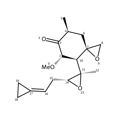 CO[C@@H]1C(=O)[C@@H](C)C[C@]2(CO2)[C@H]1[C@@]1(C)O[C@@H]1CC=C1CC1